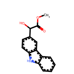 COC(=O)C(O)c1ccc2[nH]c3ccccc3c2c1